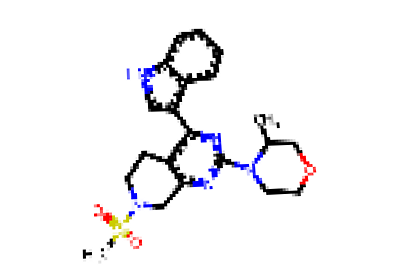 CC1COCCN1c1nc2c(c(-c3c[nH]c4ccccc34)n1)CCN(S(C)(=O)=O)C2